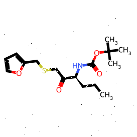 CCC[C@H](NC(=O)OC(C)(C)C)C(=O)CSCc1ccco1